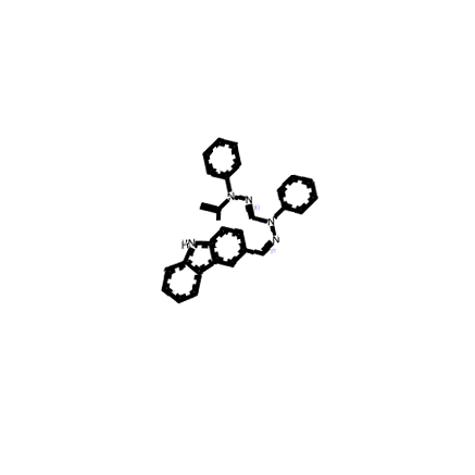 C=C(C)N(/N=C/N(/N=C\c1ccc2[nH]c3ccccc3c2c1)c1ccccc1)c1ccccc1